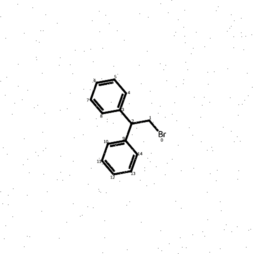 BrCC(c1ccccc1)c1ccccc1